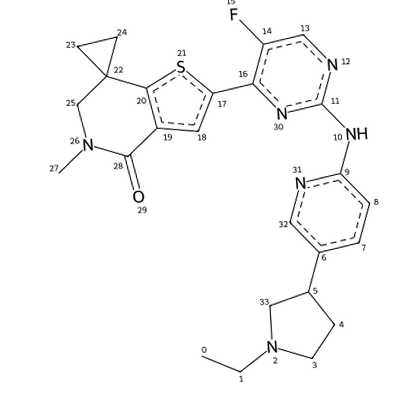 CCN1CCC(c2ccc(Nc3ncc(F)c(-c4cc5c(s4)C4(CC4)CN(C)C5=O)n3)nc2)C1